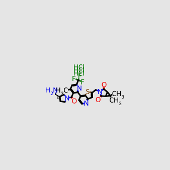 Cc1cc(C(F)(F)F)nc(-c2ccnc3cc(CN4C(=O)C5C(C4=O)C5(C)C)sc23)c1C(=O)N1CC[C@@H](CN)C1.Cl.Cl.Cl